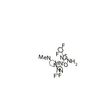 CNC1CCCN(c2c(NC(=O)c3nc(-c4cc(F)ccc4F)sc3N)cnn2CC(F)F)CC1